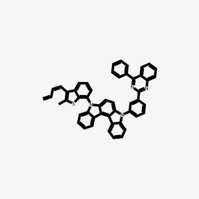 C=C/C=C\c1c(C)sc2c(-n3c4ccccc4c4c5c6ccccc6n(-c6cccc(-c7nc(-c8ccccc8)c8ccccc8n7)c6)c5ccc43)cccc12